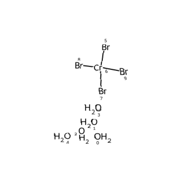 O.O.O.O.O.[Br][Cr]([Br])([Br])[Br]